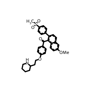 COc1ccc2c(C(=O)c3ccc(OCCC4CCCCN4)cc3)c(-c3ccc(S(C)(=O)=O)cc3)ccc2c1